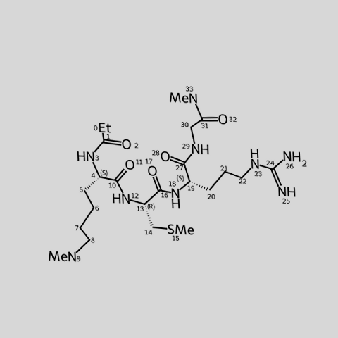 CCC(=O)N[C@@H](CCCCNC)C(=O)N[C@@H](CSC)C(=O)N[C@@H](CCCNC(=N)N)C(=O)NCC(=O)NC